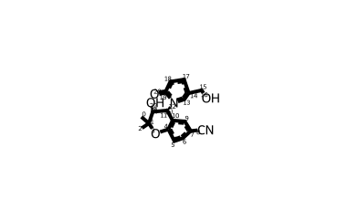 CC1(C)Oc2ccc(C#N)cc2[C@H](n2cc(CO)ccc2=O)[C@H]1O